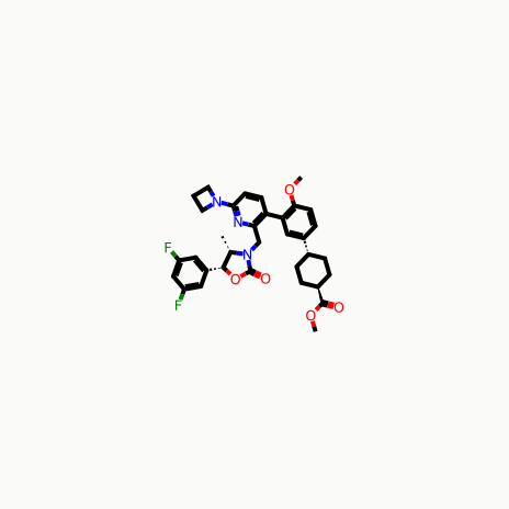 COc1ccc([C@H]2CC[C@H](C(=O)OC)CC2)cc1-c1ccc(N2CCC2)nc1CN1C(=O)O[C@H](c2cc(F)cc(F)c2)[C@@H]1C